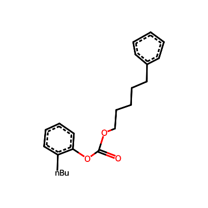 CCCCc1ccccc1OC(=O)OCCCCCc1ccccc1